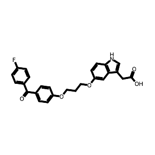 O=C(O)Cc1c[nH]c2ccc(OCCCOc3ccc(C(=O)c4ccc(F)cc4)cc3)cc12